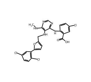 CNc1ncnc(Nc2ccc(Cl)cc2C(=O)O)c1NCc1ccc(-c2cc(Cl)ccc2Cl)o1